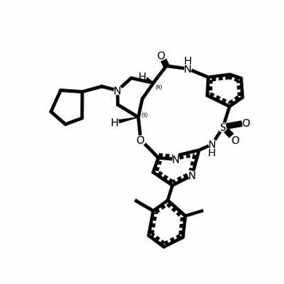 Cc1cccc(C)c1-c1cc2nc(n1)NS(=O)(=O)c1cccc(c1)NC(=O)[C@@H]1C[C@@H](CN(CC3CCCC3)C1)O2